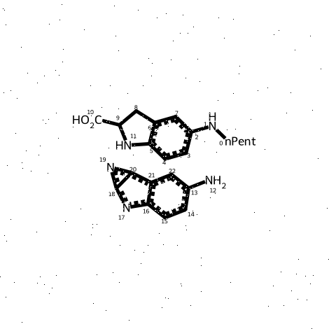 CCCCCNc1ccc2c(c1)CC(C(=O)O)N2.Nc1ccc2nc3nc-3c2c1